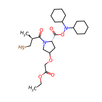 CCOC(=O)COC1C[C@@H](C(=O)ON(C2CCCCC2)C2CCCCC2)N(C(=O)[C@H](C)CS)C1